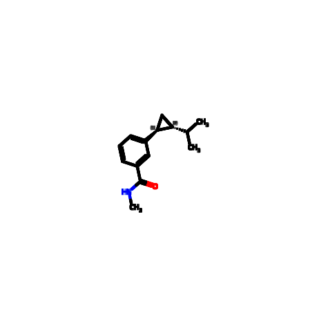 CNC(=O)c1cccc([C@H]2C[C@@H]2C(C)C)c1